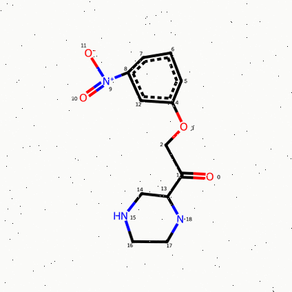 O=C(COc1cccc([N+](=O)[O-])c1)C1CNCC[N]1